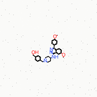 COc1ccc(-c2nnc(NC3CCN(Cc4ccc(CO)cc4)CC3)c3cc(OC)ccc23)cc1